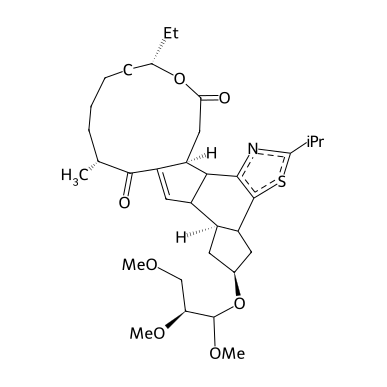 CC[C@H]1CCCC[C@@H](C)C(=O)C2=CC3C(c4nc(C(C)C)sc4C4C[C@@H](OC(OC)[C@H](COC)OC)C[C@H]43)[C@@H]2CC(=O)O1